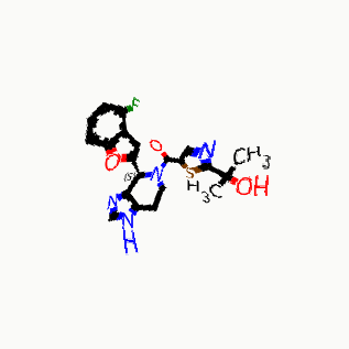 CC(C)(O)c1ncc(C(=O)N2CCc3[nH]cnc3[C@H]2c2cc3c(F)cccc3o2)s1